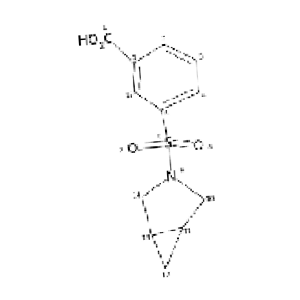 O=C(O)c1cccc(S(=O)(=O)N2CC3CC3C2)c1